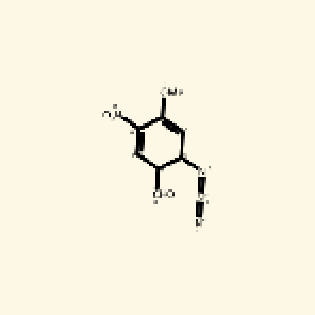 COC1=CC(N=[N+]=[N-])C(C=O)C=C1[N+](=O)[O-]